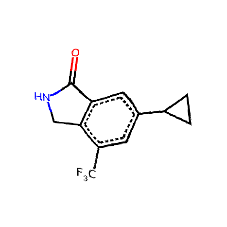 O=C1NCc2c1cc(C1CC1)cc2C(F)(F)F